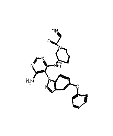 N=CC(=O)N1CCC[C@@H](Nc2ncnc(N)c2-n2ncc3cc(Oc4ccccc4)ccc32)C1